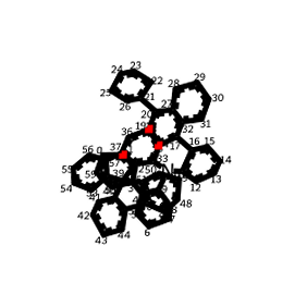 c1ccc(-c2ccccc2N(c2ccccc2-c2ccc(-c3ccccc3)c3ccccc23)c2cccc3c2C2(c4ccccc4-c4ccccc42)c2ccccc2-3)cc1